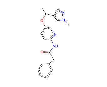 CC(Oc1ccc(NC(=O)Cc2ccccc2)nc1)c1cnn(C)c1